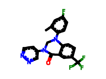 Cc1cc(F)ccc1N1CN(c2ccnnc2)C(=O)c2cc(C(F)(F)F)ccc21